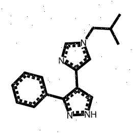 CC(C)Cn1cnc(-c2c[nH]nc2-c2ccccc2)c1